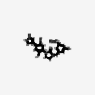 COc1cc(F)cc(CN2CCN(c3cc(F)c(-c4cn[nH]c4)cc3F)C2=O)c1